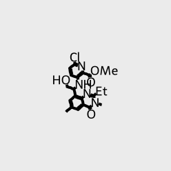 CCc1nc2c(C(CO)Nc3ccc(Cl)nc3C(=O)OC)cc(C)cc2c(=O)n1C